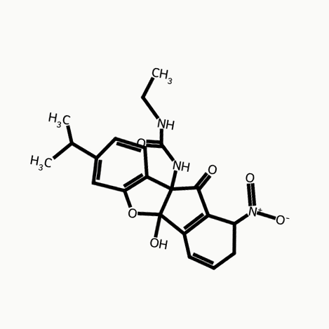 CCNC(=O)NC12C(=O)C3=C(C=CCC3[N+](=O)[O-])C1(O)Oc1cc(C(C)C)ccc12